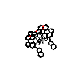 CN(p1oc2c(-c3ccc4c(c3)C=CCC4)cc3ccccc3c2c2c(o1)c(-c1ccc3c#cccc3c1)cc1ccccc12)p1oc2c(-c3ccc4c(c3)C=CCC4)cc3ccccc3c2c2c(o1)c(-c1ccc3c#cccc3c1)cc1ccccc12